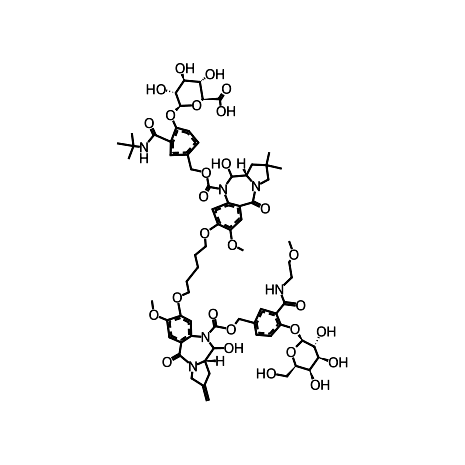 C=C1C[C@H]2C(O)N(C(=O)OCc3ccc(O[C@@H]4O[C@H](CO)[C@H](O)[C@H](O)[C@H]4O)c(C(=O)NCCOC)c3)c3cc(OCCCCCOc4cc5c(cc4OC)C(=O)N4CC(C)(C)C[C@H]4C(O)N5C(=O)OCc4ccc(O[C@@H]5O[C@H](C(=O)O)[C@@H](O)[C@H](O)[C@H]5O)c(C(=O)NC(C)(C)C)c4)c(OC)cc3C(=O)N2C1